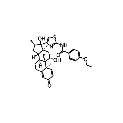 CCOc1ccc(C(=O)Nc2nc([C@@]3(O)[C@H](C)C[C@H]4[C@@H]5CCC6=CC(=O)C=C[C@]6(C)[C@@]5(F)[C@@H](O)C[C@@]43C)cs2)cc1